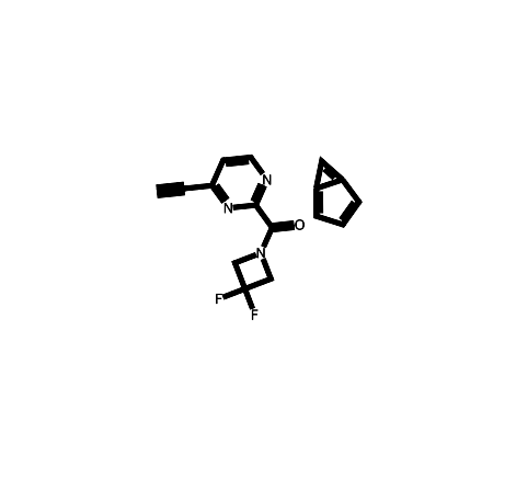 C#Cc1ccnc(C(=O)N2CC(F)(F)C2)n1.c1cc2cc-2c1